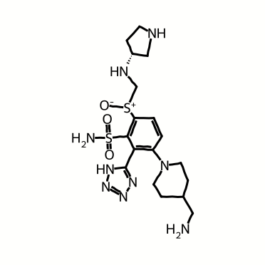 NCC1CCN(c2ccc([S+]([O-])CN[C@@H]3CCNC3)c(S(N)(=O)=O)c2-c2nnn[nH]2)CC1